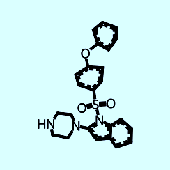 O=S(=O)(c1ccc(Oc2ccccc2)cc1)n1c(N2CCNCC2)cc2ccccc21